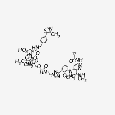 CNC(=O)c1nnc(NC(=O)C2CC2)cc1Nc1cccc(-c2ncn(CCNC(=O)COCC(=O)N[C@H](C(=O)N3C[C@H](O)C[C@H]3C(=O)NCc3ccc(-c4scnc4C)cc3)C(C)(C)C)n2)c1OC